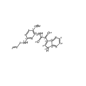 C=CCNc1ccc(C(C)(C)C)c(NC(=O)C(=O)c2c[nH]c3ccccc23)c1